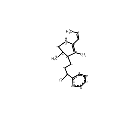 C/C=C\C1=C(C)C(CCC(CC)c2ccccc2)C(C)CN1